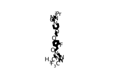 CC(C)c1noc(N2CCC(OCCOc3ccc(CC(=O)N4Cc5nnc(C(F)(F)F)n5C(C)C4)c(F)c3)CC2)n1